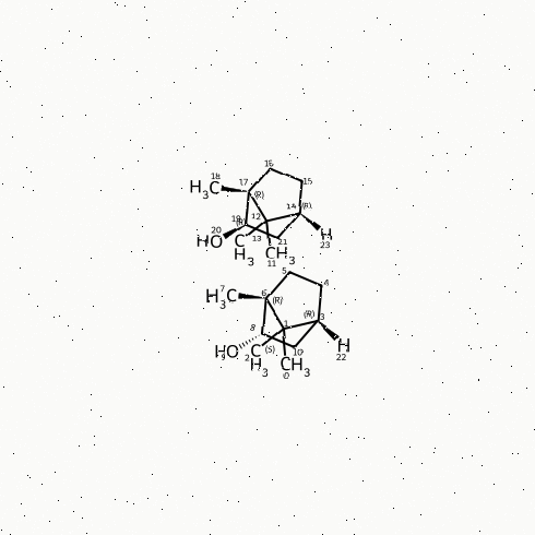 CC1(C)[C@@H]2CC[C@@]1(C)[C@@H](O)C2.CC1(C)[C@@H]2CC[C@@]1(C)[C@H](O)C2